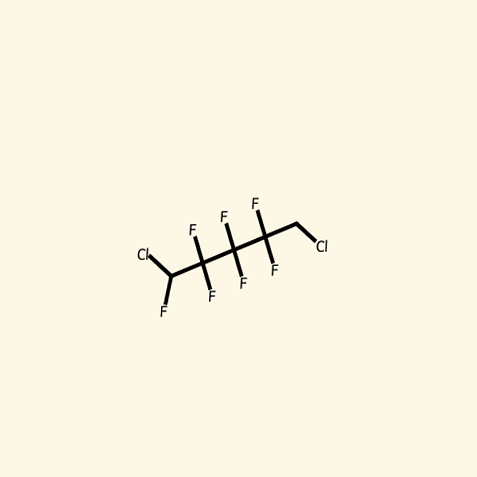 FC(Cl)C(F)(F)C(F)(F)C(F)(F)CCl